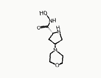 O=C(NO)[C@H]1C[C@H](N2CCOCC2)CN1